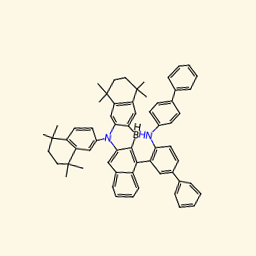 CC1(C)CCC(C)(C)c2cc(N3c4cc5c(cc4Bc4c3cc3ccccc3c4-c3cc(-c4ccccc4)ccc3Nc3ccc(-c4ccccc4)cc3)C(C)(C)CCC5(C)C)ccc21